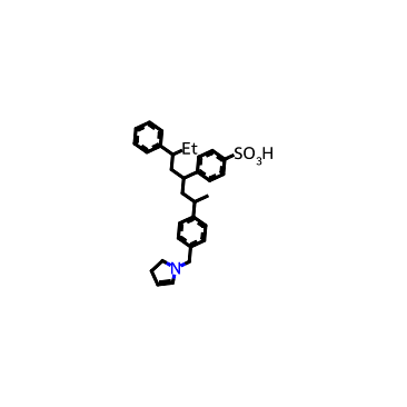 CCC(CC(CC(C)c1ccc(CN2C=CCC2)cc1)c1ccc(S(=O)(=O)O)cc1)c1ccccc1